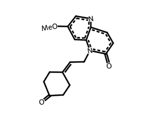 COc1cnc2ccc(=O)n(CC=C3CCC(=O)CC3)c2c1